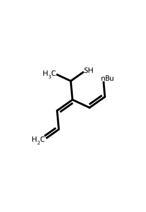 C=C/C=C(\C=C/CCCC)C(C)S